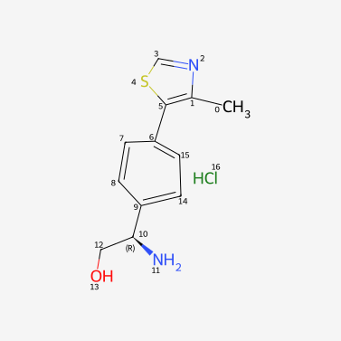 Cc1ncsc1-c1ccc([C@@H](N)CO)cc1.Cl